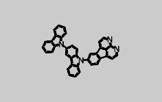 c1ccc2c(c1)c1ccccc1n2-c1ccc2c(c1)c1ccccc1n2-c1ccc2c(c1)-c1ccnc3nccc-2c13